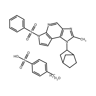 Cc1ccc(S(=O)(=O)O)cc1.Cc1nc2cnc3c(ccn3S(=O)(=O)c3ccccc3)c2n1C1CC2CCC1C2.O